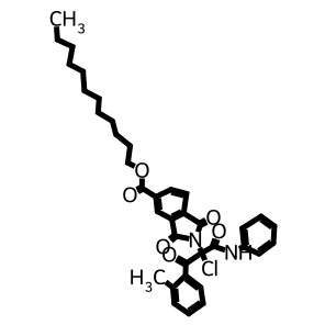 CCCCCCCCCCCCOC(=O)c1ccc2c(c1)C(=O)N(C(Cl)(C(=O)Nc1ccccc1)C(=O)c1ccccc1C)C2=O